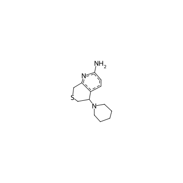 Nc1ccc2c(n1)CSCC2N1CCCCC1